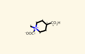 C[N+]1(C(=O)[O-])CCC(C(=O)O)CC1